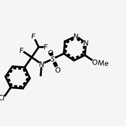 COc1cc(S(=O)(=O)N(C)C(F)(c2ccc(Cl)cc2)C(F)F)cnn1